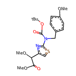 COC(=O)C(OC)c1csc(N(Cc2ccc(OC)cc2)C(=O)OC(C)(C)C)n1